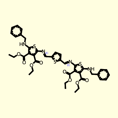 CCOC(=O)c1c(/N=C/c2ccc(/C=N/c3sc(NCc4ccccc4)c(C(=O)OCC)c3C(=O)OCC)s2)sc(NCc2ccccc2)c1C(=O)OCC